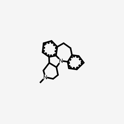 CN1CCC2C(C1)c1cccc3c1N2c1ccccc1CC3